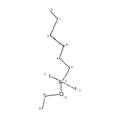 CCCCCC[Si](I)(I)OCC